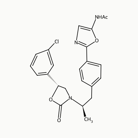 CC(=O)Nc1cnc(-c2ccc(C[C@@H](C)N3C[C@@H](c4cccc(Cl)c4)OC3=O)cc2)o1